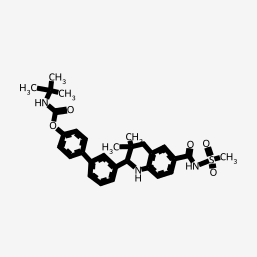 CC(C)(C)NC(=O)Oc1ccc(-c2cccc(C3Nc4ccc(C(=O)NS(C)(=O)=O)cc4CC3(C)C)c2)cc1